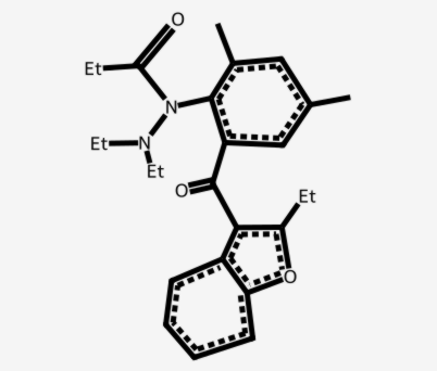 CCC(=O)N(c1c(C)cc(C)cc1C(=O)c1c(CC)oc2ccccc12)N(CC)CC